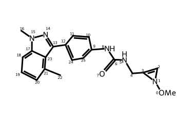 CON1C=C1CNC(=O)Nc1ccc(-c2nn(C)c3cccc(C)c23)cc1